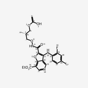 C=C(O)OC[C@@H](C)CONC(=O)c1oc2c(C(=O)OCC)cncc2c1Nc1ccc(I)cc1F